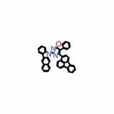 c1ccc2c(c1)-c1cccc3c(-c4nc(-n5c6ccccc6c6cc7ccccc7cc65)nc5oc6ccccc6c45)ccc-2c13